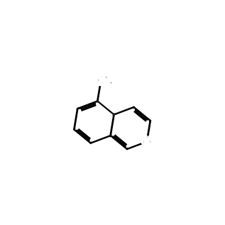 N#CC1=CC=CC2=COC=CC12